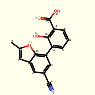 Cc1cc2cc(C#N)cc(-c3cccc(C(=O)O)c3O)c2o1